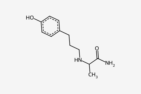 CC(NCCCc1ccc(O)cc1)C(N)=O